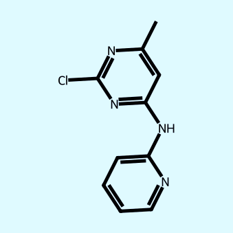 Cc1cc(Nc2ccccn2)nc(Cl)n1